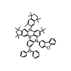 Cc1cc2c(cc1N1c3cc4c(cc3B3c5ccc(N(c6ccccc6)c6ccccc6)cc5N(c5ccc6oc7ccccc7c6c5)c5cc(C(C)(C)C)cc1c53)C(C)(C)CC4(C)C)C(C)(C)CCC2(C)C